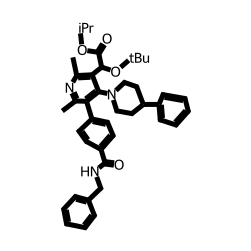 Cc1nc(C)c(C(OC(C)(C)C)C(=O)OC(C)C)c(N2CCC(c3ccccc3)CC2)c1-c1ccc(C(=O)NCc2ccccc2)cc1